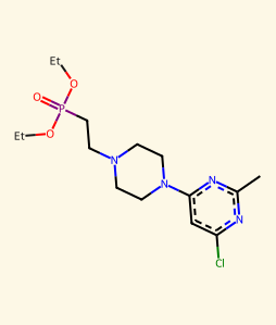 CCOP(=O)(CCN1CCN(c2cc(Cl)nc(C)n2)CC1)OCC